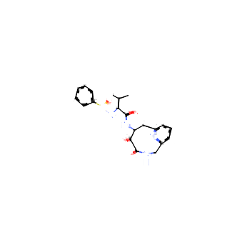 CC(C)C(NS(=O)(=O)c1ccccc1)C(=O)NC1Cc2cccc(n2)CNC(=O)C1=O